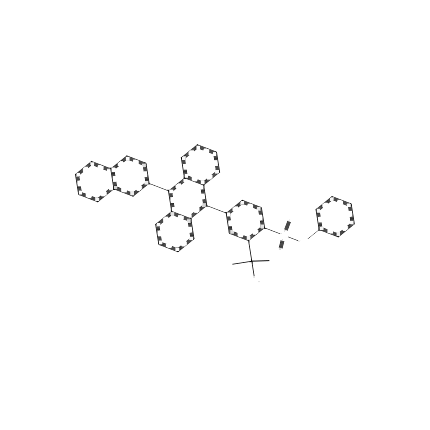 CC(C)(O)c1cc(-c2c3ccccc3c(-c3ccc4ccccc4c3)c3ccccc23)ccc1S(=O)(=O)Oc1ccccc1